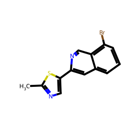 Cc1ncc(-c2cc3cccc(Br)c3cn2)s1